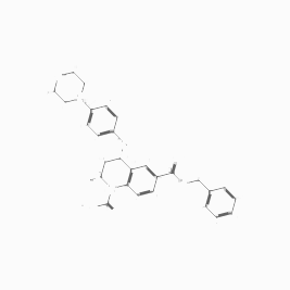 CC(=O)N1c2ccc(C(=O)OCc3ccccc3)cc2[C@H](Nc2ccc(N3CCOCC3)cc2)C[C@@H]1C